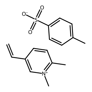 C=Cc1ccc(C)[n+](C)c1.Cc1ccc(S(=O)(=O)[O-])cc1